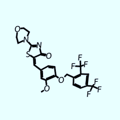 COc1cc(C=C2SC(N3CCOCC3)=NC2=O)ccc1OCc1ccc(C(F)(F)F)cc1C(F)(F)F